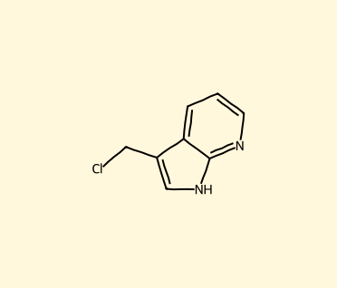 ClCc1c[nH]c2ncccc12